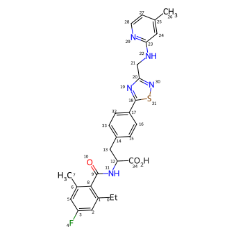 CCc1cc(F)cc(C)c1C(=O)NC(Cc1ccc(-c2nc(CNc3cc(C)ccn3)ns2)cc1)C(=O)O